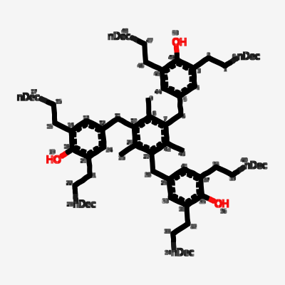 CCCCCCCCCCCCc1cc(Cc2c(C)c(Cc3cc(CCCCCCCCCCCC)c(O)c(CCCCCCCCCCCC)c3)c(C)c(Cc3cc(CCCCCCCCCCCC)c(O)c(CCCCCCCCCCCC)c3)c2C)cc(CCCCCCCCCCCC)c1O